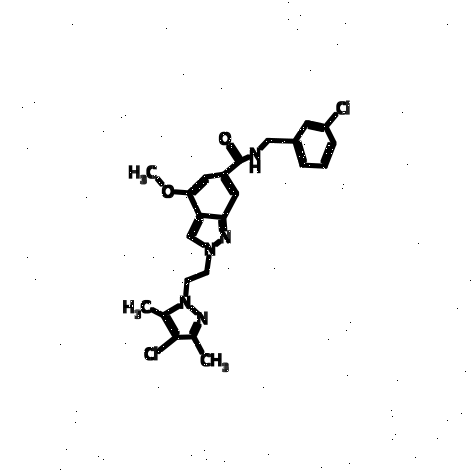 COc1cc(C(=O)NCc2cccc(Cl)c2)cc2nn(CCn3nc(C)c(Cl)c3C)cc12